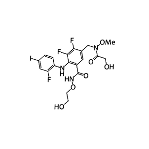 CON(Cc1cc(C(=O)NOCCO)c(Nc2ccc(I)cc2F)c(F)c1F)C(=O)CO